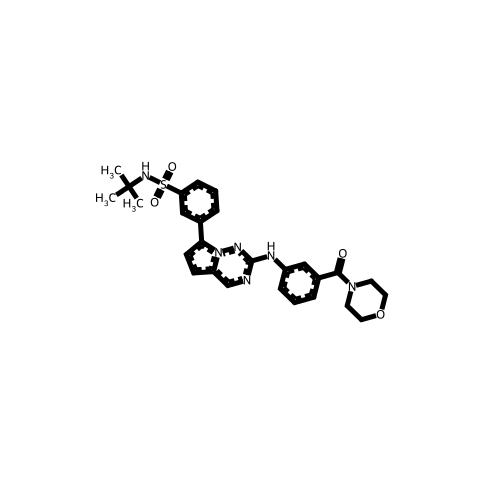 CC(C)(C)NS(=O)(=O)c1cccc(-c2ccc3cnc(Nc4cccc(C(=O)N5CCOCC5)c4)nn23)c1